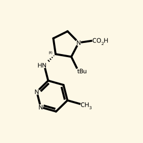 Cc1cnnc(N[C@@H]2CCN(C(=O)O)C2C(C)(C)C)c1